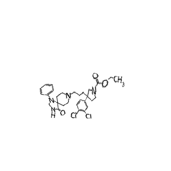 CCOC(=O)N1CCC(CCCN2CCC3(CC2)C(=O)NCN3c2ccccc2)(c2ccc(Cl)c(Cl)c2)C1